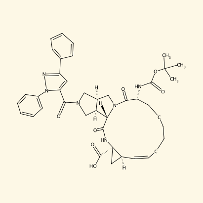 CC(C)(C)OC(=O)N[C@@H]1CCCCC/C=C\[C@H]2C[C@@]2(C(=O)O)NC(=O)[C@@H]2[C@H]3CN(C(=O)c4cc(-c5ccccc5)nn4-c4ccccc4)C[C@H]3CN2C1=O